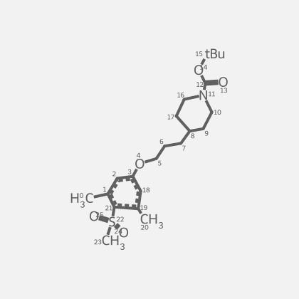 Cc1cc(OCCCC2CCN(C(=O)OC(C)(C)C)CC2)cc(C)c1S(C)(=O)=O